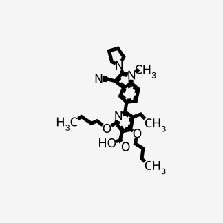 CCCCOc1nc(-c2ccc3c(c2)c(C#N)c(N2CCCC2)n3C)c(CC)c(OCCCC)c1C(=O)O